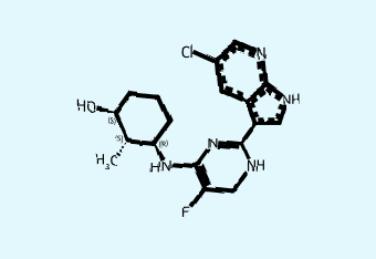 C[C@@H]1[C@@H](O)CCC[C@H]1NC1=C(F)CNC(c2c[nH]c3ncc(Cl)cc23)=N1